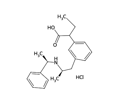 CCC(C(=O)O)c1cccc(C[C@@H](C)N[C@H](C)c2ccccc2)c1.Cl